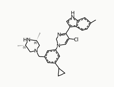 Cc1ccc2c(C3=NCN(c4cc(CN5C[C@@H](C)N[C@@H](C)C5)cc(C5CC5)c4)C=C3Cl)c[nH]c2c1